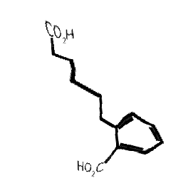 O=C(O)CCCCCc1ccccc1C(=O)O